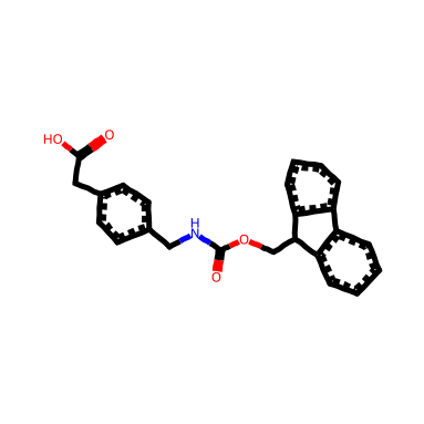 O=C(O)Cc1ccc(CNC(=O)OCC2c3ccccc3-c3ccccc32)cc1